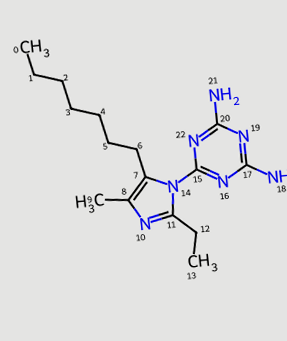 CCCCCCCc1c(C)nc(CC)n1-c1nc(N)nc(N)n1